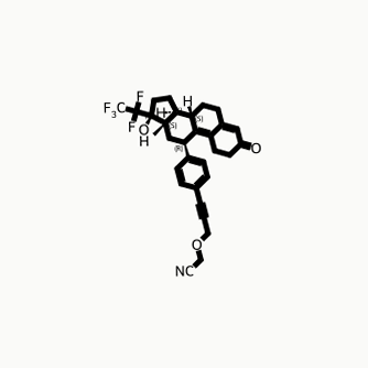 C[C@]12C[C@H](c3ccc(C#CCOCC#N)cc3)C3=C4CCC(=O)C=C4CC[C@H]3[C@@H]1CC[C@@]2(O)C(F)(F)C(F)(F)F